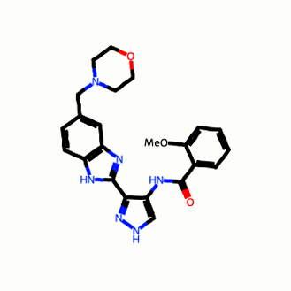 COc1ccccc1C(=O)Nc1c[nH]nc1-c1nc2cc(CN3CCOCC3)ccc2[nH]1